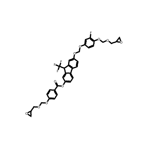 O=C(Oc1ccc2c(c1)C(C(F)(F)F)c1cc(OCOc3ccc(OCOCC4CO4)c(F)c3)ccc1-2)c1ccc(OCOCC2CO2)cc1